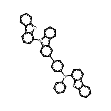 c1ccc(N(c2ccc(-c3ccc4c(c3)c3ccccc3n4-c3cccc4c3oc3ccccc34)cc2)c2cccc3c2sc2ccccc23)cc1